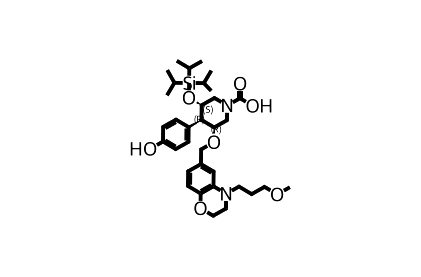 COCCCN1CCOc2ccc(CO[C@H]3CN(C(=O)O)C[C@@H](O[Si](C(C)C)(C(C)C)C(C)C)[C@@H]3c3ccc(O)cc3)cc21